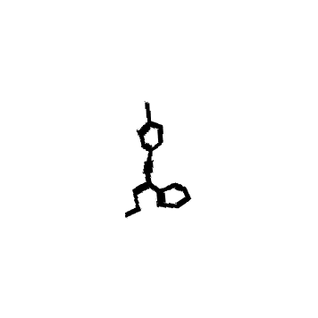 CC/C=C(/C#Cc1ccc(C)cc1)c1ccccc1